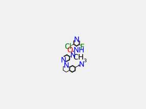 CN(C(=O)Nc1c(F)cncc1Cl)c1ccnc(N2CCCc3ccc(C#N)cc32)c1